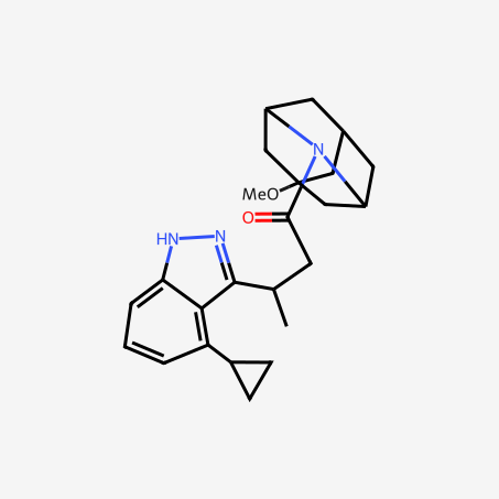 COC12CC3CC(C1)N(C(=O)CC(C)c1n[nH]c4cccc(C5CC5)c14)C(C3)C2